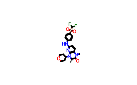 C[C@@H]1C(=O)N(C)c2ccc(Nc3ccc(S(=O)(=O)C(F)F)cc3)nc2N1C1CCOCC1